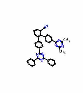 Cc1nc(C)nc(-c2ccc(-c3c(C#N)cccc3-c3ccc(-c4nc(-c5ccccc5)nc(-c5ccccc5)n4)cc3)cc2)n1